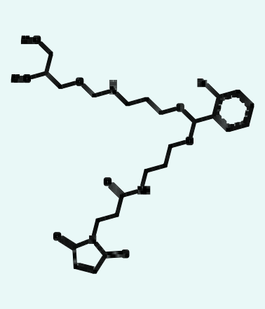 COCC(COCNCCCOC(OCCCNC(=O)CCN1C(=O)C=CC1=O)c1ccccc1Br)OC